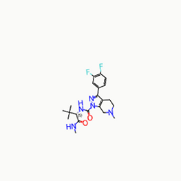 CNC(=O)[C@@H](NC(=O)n1nc(-c2ccc(F)c(F)c2)c2c1CN(C)CC2)C(C)(C)C